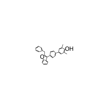 Cc1cc(-c2ccc(-c3c(Cc4ccccc4)oc4ccccc34)cc2)cc(C)c1O